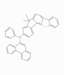 C[Si]1(C)c2cc(N(c3ccccc3)c3cc4ccccc4c4ccccc34)ccc2-c2c1ccc1c2sc2ccccc21